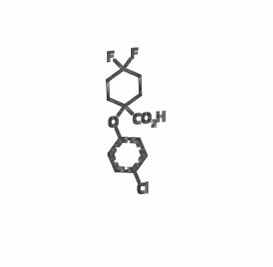 O=C(O)C1(Oc2ccc(Cl)cc2)CCC(F)(F)CC1